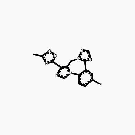 Cc1nc(-c2ncn3c2Cn2ncnc2-c2cc(F)ccc2-3)no1